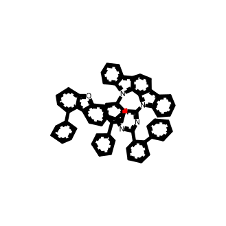 c1ccc(-c2ccc(-n3c4ccccc4c4ccc5c6ccccc6n(-c6nc(-c7ccc8c(c7)oc7cccc(-c9ccccc9)c78)nc(-c7ccccc7-c7ccccc7)n6)c5c43)cc2)cc1